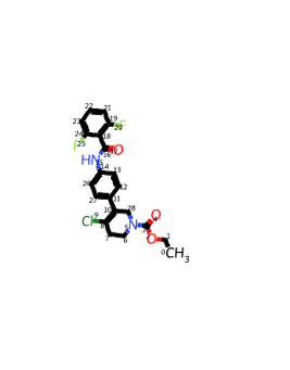 CCOC(=O)N1CCC(Cl)=C(c2ccc(NC(=O)c3c(F)cccc3F)cc2)C1